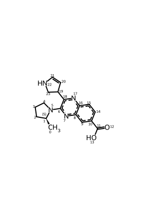 C[C@H]1CCCN1c1nc2cc(C(=O)O)ccc2nc1C1C=CNC1